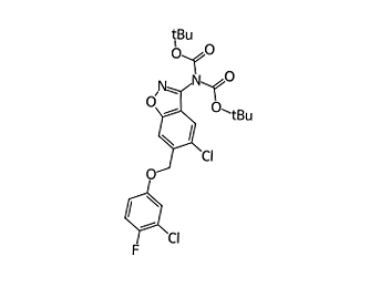 CC(C)(C)OC(=O)N(C(=O)OC(C)(C)C)c1noc2cc(COc3ccc(F)c(Cl)c3)c(Cl)cc12